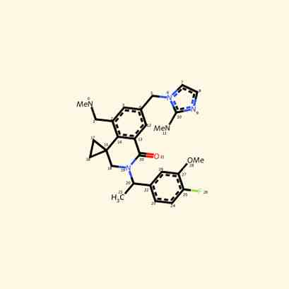 CNCc1cc(Cn2ccnc2NC)cc2c1C1(CC1)CN(C(C)c1ccc(F)c(OC)c1)C2=O